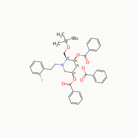 CC(C)(C)[Si](C)(C)OC[C@H]1[C@@H](OC(=O)c2ccccc2)[C@H](OC(=O)c2ccccc2)[C@@H](OC(=O)c2ccccc2)CN1CCc1ccccc1F